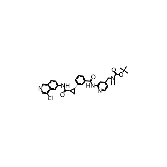 CC(C)(C)OC(=O)NCc1ccnc(NC(=O)c2cccc([C@@H]3C[C@H]3C(=O)Nc3ccc4cncc(Cl)c4c3)c2)c1